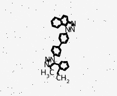 C=Cc1ccccc1-c1c(C)nnn1-c1ccc(-c2ccc(-n3nnc4ccc5ccccc5c43)cc2)cc1